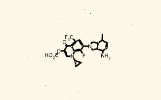 CC1C=CC(N)C2CN(c3cc(C(F)(F)F)c4c(=O)c(OC(=O)O)cn(C5CC5)c4c3F)CC12